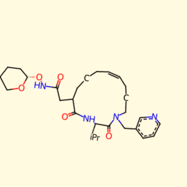 CC(C)C1NC(=O)C(CC(=O)NO[C@H]2CCCCO2)CCCC=CCCCN(Cc2cccnc2)C1=O